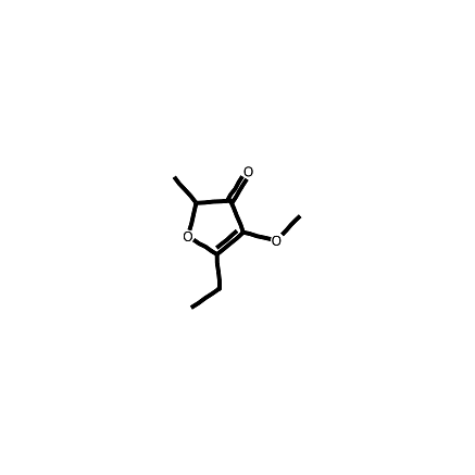 CCC1=C(OC)C(=O)C(C)O1